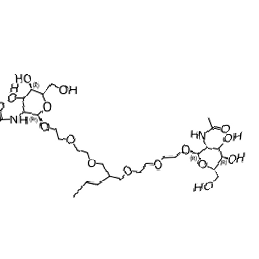 CCCC(COCCOCCO[C@@H]1OC(CO)[C@H](O)C(O)C1NC(C)=O)COCCOCCO[C@@H]1OC(CO)[C@H](O)C(O)C1NC(C)=O